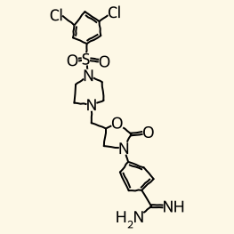 N=C(N)c1ccc(N2CC(CN3CCN(S(=O)(=O)c4cc(Cl)cc(Cl)c4)CC3)OC2=O)cc1